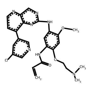 C=CC(=O)Nc1cc(Nc2ncc3nccc(-c4cncc(Cl)c4)c3n2)c(OC)cc1OCCN(C)C